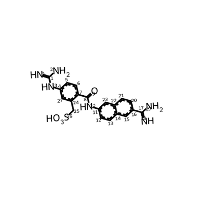 N=C(N)Nc1ccc(C(=O)Nc2ccc3cc(C(=N)N)ccc3c2)c(CS(=O)(=O)O)c1